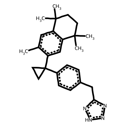 Cc1cc2c(cc1C1(c3ccc(Cc4nn[nH]n4)cc3)CC1)C(C)(C)CCC2(C)C